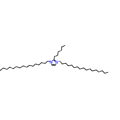 CCCCCCCCCCCCCCCCCn1cc[n+](CCCCCCCCCCCCCCCCC)c1CCCCCC